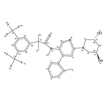 Cc1ccccc1-c1cc(N2C[C@H](O)C[C@@H](O)C2)ncc1N(C)C(=O)C(C)(C)c1cc(C(F)(F)F)cc(C(F)(F)F)c1